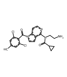 [CH]c1cc(Cl)c(C(=O)n2ccc3c(N(CCN)C(=O)C4CC4)nccc32)c(Cl)c1